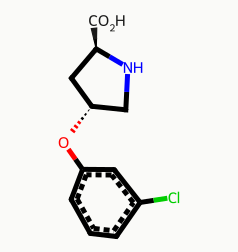 O=C(O)[C@@H]1C[C@@H](Oc2cccc(Cl)c2)CN1